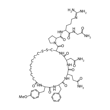 COc1ccc(CC2NC(=O)CCCCCCCSSCC(C(=O)N3CCCC3C(=O)NC(CCCN=C(N)N)C(=O)NCC(N)=O)NC(=O)C(CC(N)=O)NC(=O)C(CCC(N)=O)NC(=O)C(Cc3ccccc3)NC2=O)cc1